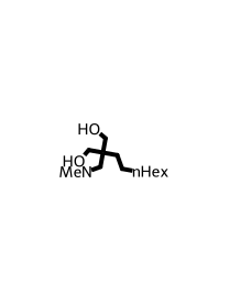 CCCCCCCCC(CO)(CO)CNC